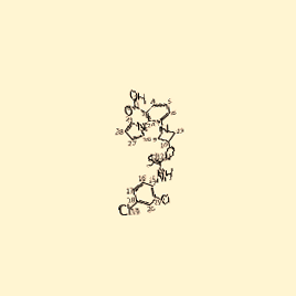 O=C(O)c1cccc(N2CC(OC(=S)Nc3ccc(Cl)cc3Cl)C2)c1-n1cccc1